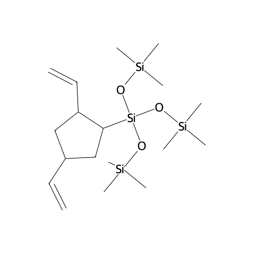 C=CC1CC(C=C)C([Si](O[Si](C)(C)C)(O[Si](C)(C)C)O[Si](C)(C)C)C1